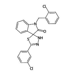 O=C1N(Cc2ccccc2Cl)c2ccccc2C12NN=C(c1cccc(Cl)c1)S2